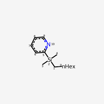 CCCCCCC[Si](C)(C)c1ccccn1